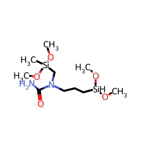 CO[SiH](CCCN(C[Si](C)(OC)OC)C(N)=O)OC